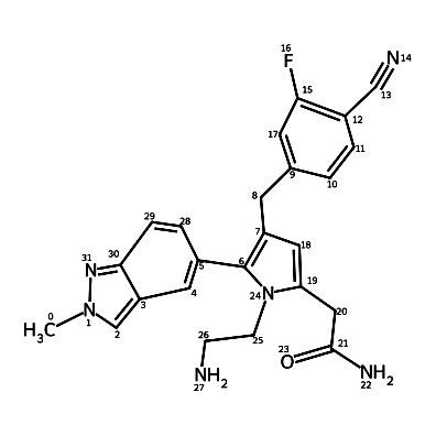 Cn1cc2cc(-c3c(Cc4ccc(C#N)c(F)c4)cc(CC(N)=O)n3CCN)ccc2n1